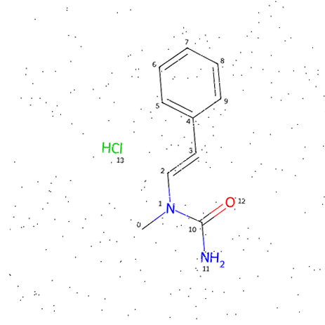 CN(C=Cc1ccccc1)C(N)=O.Cl